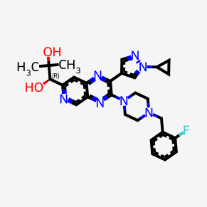 CC(C)(O)[C@H](O)c1cc2nc(-c3cnn(C4CC4)c3)c(N3CCN(Cc4ccccc4F)CC3)nc2cn1